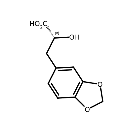 O=C(O)[C@H](O)Cc1ccc2c(c1)OCO2